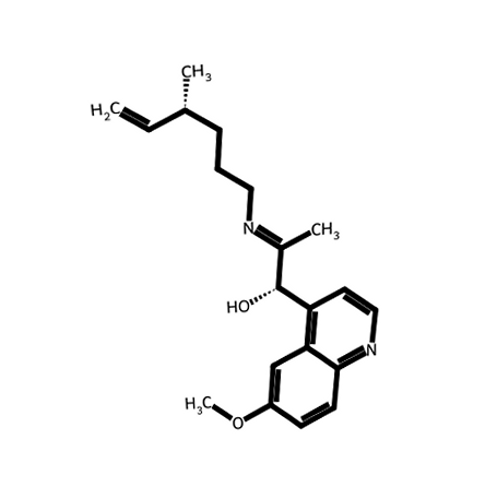 C=C[C@H](C)CCC/N=C(\C)[C@@H](O)c1ccnc2ccc(OC)cc12